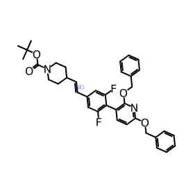 CC(C)(C)OC(=O)N1CCC(/C=C/c2cc(F)c(-c3ccc(OCc4ccccc4)nc3OCc3ccccc3)c(F)c2)CC1